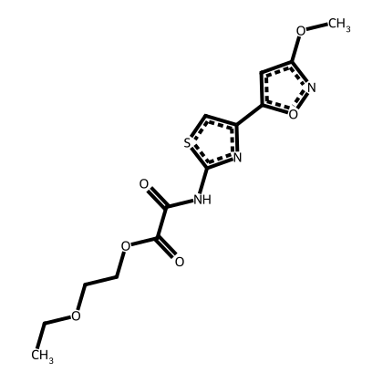 CCOCCOC(=O)C(=O)Nc1nc(-c2cc(OC)no2)cs1